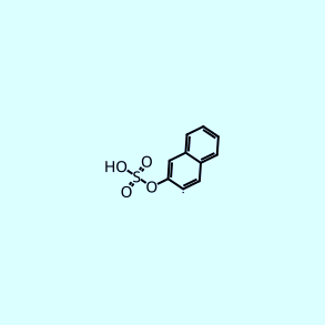 O=S(=O)(O)Oc1[c]cc2ccccc2c1